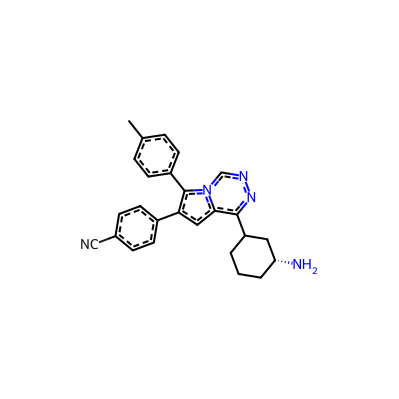 Cc1ccc(-c2c(-c3ccc(C#N)cc3)cc3c(C4CCC[C@@H](N)C4)nncn23)cc1